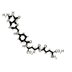 Nc1nc2ncc(CNc3ccc(C(=O)N[C@@H](CCC(=O)OC(=O)CC[C@H](N)C(=O)O)C(=O)O)cc3)nc2c(=O)[nH]1